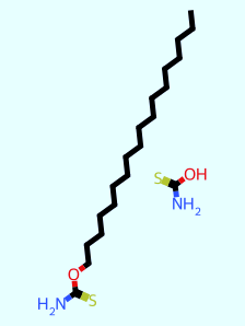 CCCCCCCCCCCCCCCCCCOC(N)=S.NC(O)=S